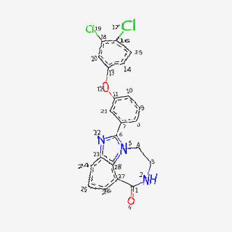 O=C1NCCn2c(-c3cccc(Oc4ccc(Cl)c(Cl)c4)c3)nc3cccc1c32